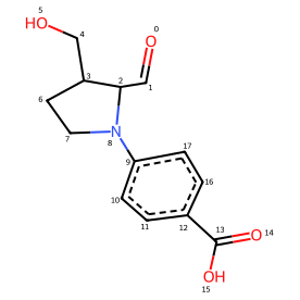 O=CC1C(CO)CCN1c1ccc(C(=O)O)cc1